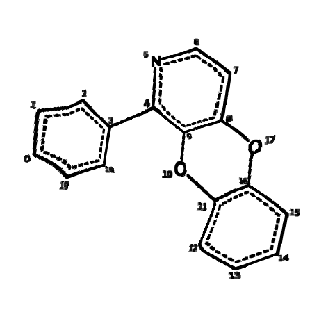 c1ccc(-c2nccc3c2Oc2ccccc2O3)cc1